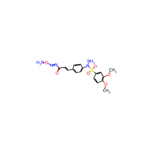 COc1ccc(S(=O)(=O)N(N)c2ccc(/C=C/C(=O)N=NON)cc2)cc1OC